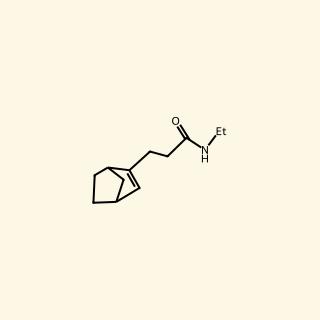 CCNC(=O)CCC1=CC2CCC1C2